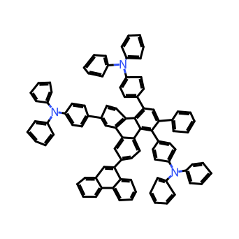 c1ccc(-c2cc(-c3ccc(N(c4ccccc4)c4ccccc4)cc3)c3c4ccc(-c5ccc(N(c6ccccc6)c6ccccc6)cc5)cc4c4cc(-c5cc6ccccc6c6ccccc56)ccc4c3c2-c2ccc(N(c3ccccc3)c3ccccc3)cc2)cc1